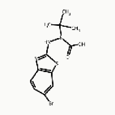 CC(C)(C)N(Nc1nc2ccc(Br)cc2s1)C(=O)O